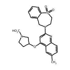 Cc1ccc2nc(N3CCS(=O)(=O)c4ccccc4C3)cc(OC3CCN(C(=O)O)C3)c2c1